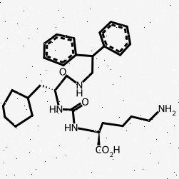 NCCCC[C@H](NC(=O)N[C@H](CC1CCCCC1)C(=O)NCC(c1ccccc1)c1ccccc1)C(=O)O